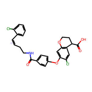 O=C(NCC/C=C\c1ccccc1Cl)c1ccc(Oc2cc3c(cc2Cl)C(C(=O)O)CCO3)cc1